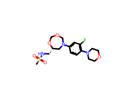 CS(=O)(=O)NC[C@H]1CN(c2ccc(N3CCOCC3)c(F)c2)COCO1